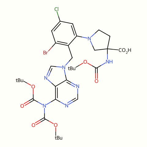 CC(C)(C)OC(=O)NC1(C(=O)O)CCN(c2cc(Cl)cc(Br)c2Cn2cnc3c(N(C(=O)OC(C)(C)C)C(=O)OC(C)(C)C)ncnc32)C1